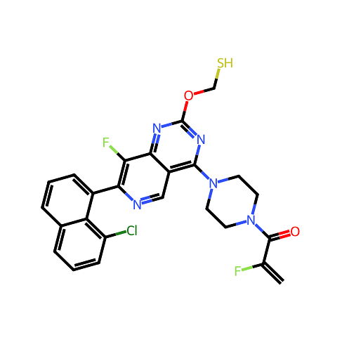 C=C(F)C(=O)N1CCN(c2nc(OCS)nc3c(F)c(-c4cccc5cccc(Cl)c45)ncc23)CC1